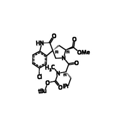 COC(=O)[C@@H]1C[C@@]2(CN1C(=O)[C@H](CC(C)C)N(C)C(=O)OC(C)(C)C)C(=O)Nc1ccc(Cl)cc12